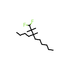 CCCCCCC(C)(CCCC)C(C)(C)C(F)F